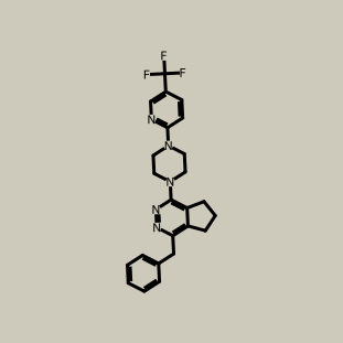 FC(F)(F)c1ccc(N2CCN(c3nnc(Cc4ccccc4)c4c3CCC4)CC2)nc1